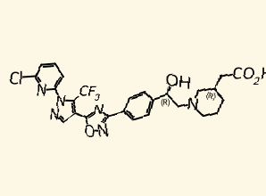 O=C(O)C[C@H]1CCCN(C[C@H](O)c2ccc(-c3noc(-c4cnn(-c5cccc(Cl)n5)c4C(F)(F)F)n3)cc2)C1